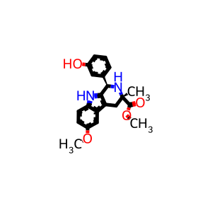 COC(=O)[C@]1(C)Cc2c([nH]c3ccc(OC)cc23)[C@@H](c2cccc(O)c2)N1